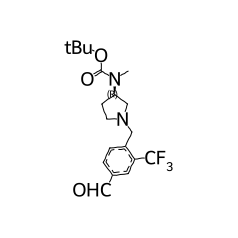 CN(C(=O)OC(C)(C)C)[C@@H]1CCN(Cc2ccc(C=O)cc2C(F)(F)F)C1